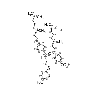 CC(C)=CCC/C(C)=C/COc1ccc(C(=O)NCCSc2ccc(C(F)(F)F)cn2)cc1.CC(C)=CCC/C(C)=C/COc1ccc(C(=O)O)cc1